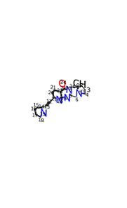 CC12CCCN1Cc1nc3nc(C#Cc4ccccn4)ccc3c(=O)n1C2